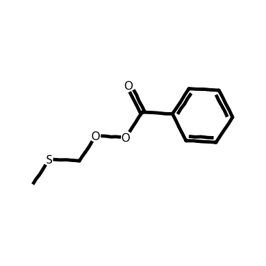 CSCOOC(=O)c1ccccc1